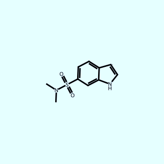 CN(C)S(=O)(=O)c1ccc2[c]c[nH]c2c1